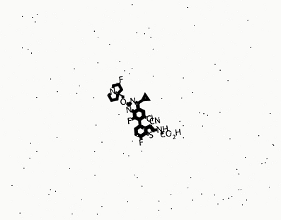 N#Cc1c(NC(=O)O)sc2c(F)ccc(-c3c(Cl)cc4c(C5CC5)nc(OC[C@@]56CCCN5C[C@H](F)C6)nc4c3F)c12